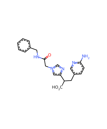 Nc1ccc(CC(C(=O)O)c2cn(CC(=O)NCc3ccccc3)cn2)cn1